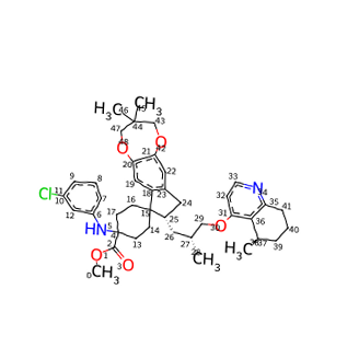 COC(=O)C1(Nc2cccc(Cl)c2)CCC2(CC1)c1cc3c(cc1C[C@@H]2C[C@@H](C)COc1ccnc2c1[C@H](C)CCC2)OCC(C)(C)CO3